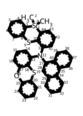 C[Si]1(C)c2ccccc2Sc2c(N(c3cccc4c3Sc3ccccc3O4)c3cc4ccccc4c4ccccc34)cccc21